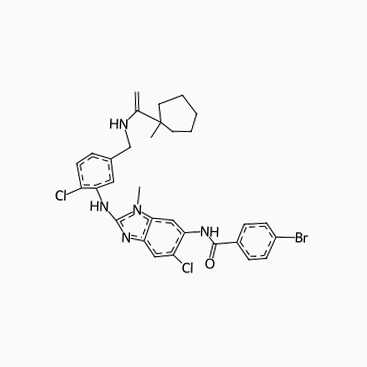 C=C(NCc1ccc(Cl)c(Nc2nc3cc(Cl)c(NC(=O)c4ccc(Br)cc4)cc3n2C)c1)C1(C)CCCCC1